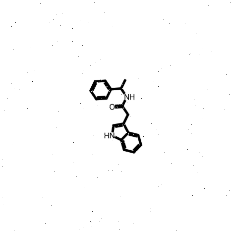 CC(NC(=O)Cc1c[nH]c2ccccc12)c1ccccc1